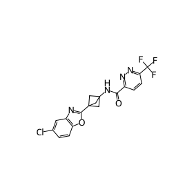 O=C(NC12CC(c3nc4cc(Cl)ccc4o3)(C1)C2)c1ccc(C(F)(F)F)nn1